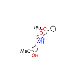 COc1cc(CNC(=S)NC(CCc2ccccc2)OC(=O)C(C)(C)C)ccc1O